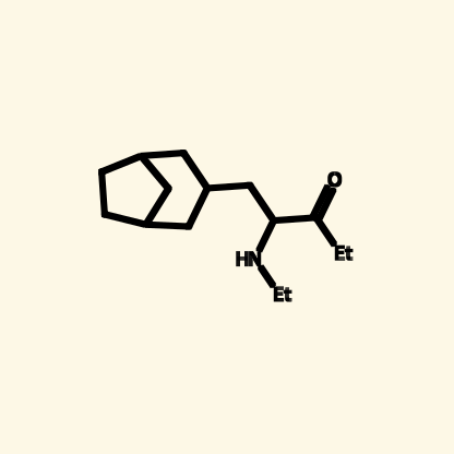 CCNC(CC1CC2CCC(C2)C1)C(=O)CC